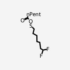 CCCCCC(=O)OSCCCCCCC(F)F